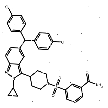 NC(=O)c1cccc(S(=O)(=O)N2CCC(c3c4cc(C(c5ccc(Cl)cc5)c5ccc(Cl)cc5)ccc4nn3C3CC3)CC2)c1